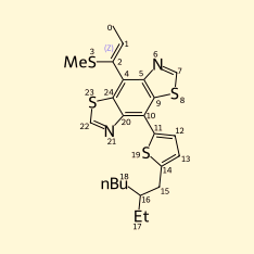 C/C=C(\SC)c1c2ncsc2c(-c2ccc(CC(CC)CCCC)s2)c2ncsc12